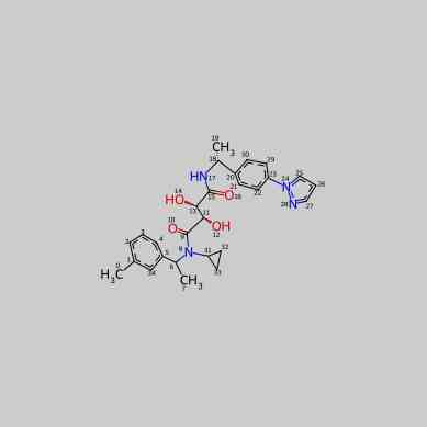 Cc1cccc(C(C)N(C(=O)[C@H](O)[C@@H](O)C(=O)N[C@H](C)c2ccc(-n3cccn3)cc2)C2CC2)c1